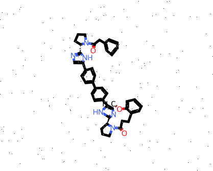 COc1ccccc1CCC(=O)N1CCC[C@H]1c1ncc(-c2ccc(-c3ccc(-c4cnc([C@@H]5CCCN5C(=O)Cc5ccccc5)[nH]4)cc3)cc2)[nH]1